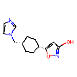 Oc1cc([C@H]2CC[C@@H](Cn3ccnc3)CC2)on1